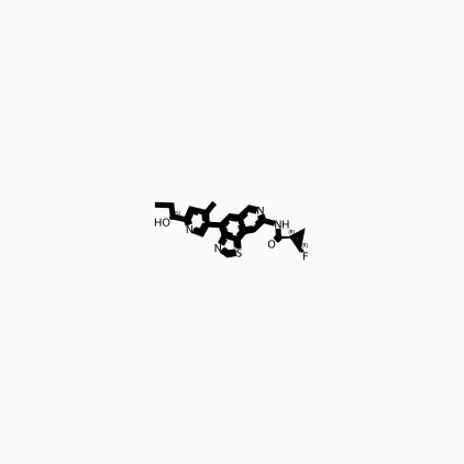 CC[C@H](O)c1cc(C)c(-c2cc3cnc(NC(=O)[C@H]4C[C@H]4F)cc3c3scnc23)cn1